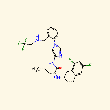 CCCC(N[C@H]1CCc2cc(F)cc(F)c2C1)C(=O)Nc1cn(-c2ccccc2CNCC(F)(F)F)cn1